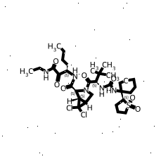 CCCC[C@H](NC(=O)[C@@H]1[C@@H]2[C@H](CN1C(=O)[C@@H](NC(=O)NC1([C@@H]3CCCS3(=O)=O)CCCCC1)C(C)(C)C)C2(Cl)Cl)C(=O)C(=O)NCC